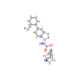 O=C(NC1CCc2cc(-c3ccccc3C(F)(F)F)ccc21)O[C@H]1CN2CCC1CC2